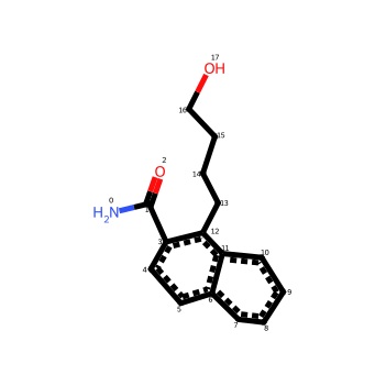 NC(=O)c1ccc2ccccc2c1C[CH]CCO